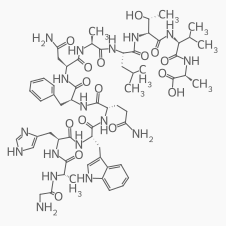 CC(C)C[C@H](NC(=O)[C@H](C)NC(=O)[C@H](CC(N)=O)NC(=O)[C@H](Cc1ccccc1)NC(=O)[C@H](CCC(N)=O)NC(=O)[C@H](Cc1c[nH]c2ccccc12)NC(=O)[C@H](Cc1c[nH]cn1)NC(=O)[C@H](C)NC(=O)CN)C(=O)N[C@H](C(=O)N[C@H](C(=O)N[C@@H](C)C(=O)O)C(C)C)[C@@H](C)O